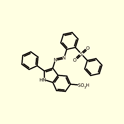 O=S(=O)(O)c1ccc2[nH]c(-c3ccccc3)c(N=Nc3ccccc3S(=O)(=O)c3ccccc3)c2c1